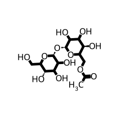 CC(=O)OCC1O[C@H](O[C@H]2OC(CO)[C@@H](O)C(O)C2O)C(O)C(O)[C@H]1O